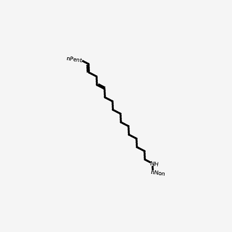 CCCCCC=CCC=CCCCCCCCCCCCNCCCCCCCCC